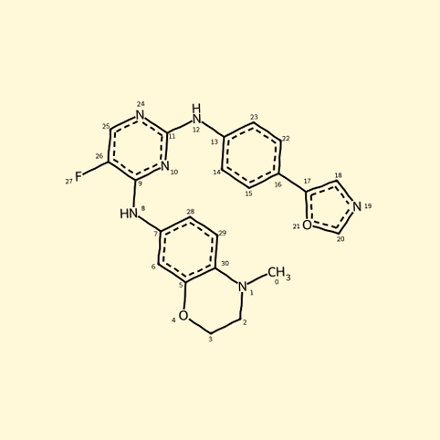 CN1CCOc2cc(Nc3nc(Nc4ccc(-c5cnco5)cc4)ncc3F)ccc21